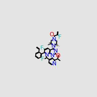 C=Cc1cccc(F)c1-c1nc2c(cc1F)c(N1[C@@H](C)CN(C(=O)C(=C)F)C[C@@H]1C)nc(=O)n2-c1c(C(C)C)ccnc1C(C)C